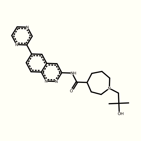 CC(C)(O)CN1CCCC(C(=O)Nc2cc3cc(-c4cnccn4)ccc3nn2)CC1